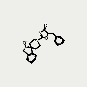 O=C1N=C(N2CCC3(CC2)c2ccccc2C[S+]3[O-])OC1Cc1ccccc1